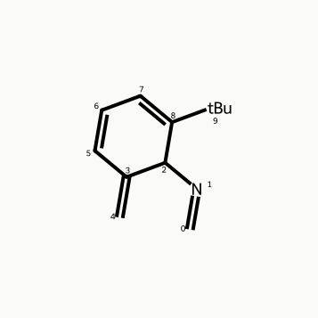 C=NC1C(=C)C=CC=C1C(C)(C)C